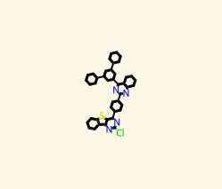 Clc1nc(-c2ccc(-c3nc(-c4cc(-c5ccccc5)cc(-c5ccccc5)c4)c4ccccc4n3)cc2)c2sc3ccccc3c2n1